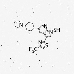 FC(F)(F)c1csc(-c2cn(S)c3ncc([C@H]4CC[C@@H](N5CCCC5)CC4)cc23)n1